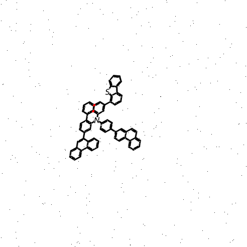 c1ccc(-c2ccc(-c3cc4ccccc4c4ccccc34)cc2N(c2ccc(-c3ccc4c(ccc5ccccc54)c3)cc2)c2cccc(-c3cccc4c3sc3ccccc34)c2)cc1